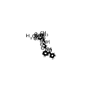 CS(=O)(=O)NCc1nc(NC(=O)CC(=O)Nc2ccccc2C(=O)C2CCCC2)sc1S(C)(=O)=O